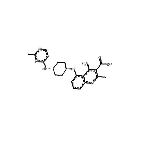 Cc1nccc(N[C@H]2CC[C@H](Oc3cccc4nc(C)c(C(=O)O)c(N)c34)CC2)n1